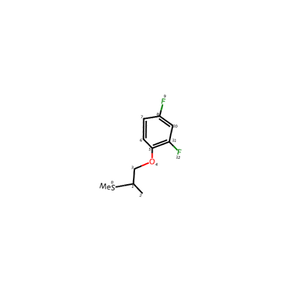 CSC(C)COc1ccc(F)cc1F